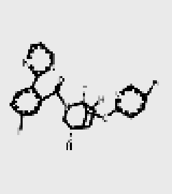 O=C(c1cc(F)ccc1-c1ncccn1)N1C[C@@H]2CC[C@H]1[C@H](Oc1ccc(Br)cn1)C2